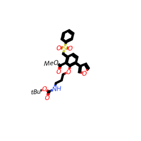 COC(=O)c1c(CS(=O)(=O)c2ccccc2)ccc(-c2ccoc2)c1OCCCNC(=O)OC(C)(C)C